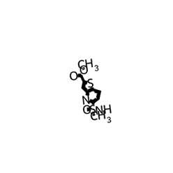 COC(=O)c1cc2nc(S(C)(=N)=O)ccc2s1